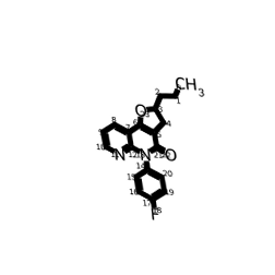 CCCC1Cc2c(c3cccnc3n(-c3ccc(F)cc3)c2=O)O1